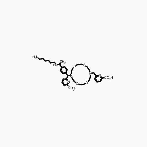 C=C(NCCCCCCN)c1ccc(C(c2cccc(C(=O)O)n2)N2CCOCCOCCN(Cc3cccc(C(=O)O)n3)CCOCCOCC2)cc1